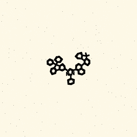 CC1(C)c2ccccc2-c2c(-c3ccc(-c4cc(-c5ccc6c(c5)-c5ccccc5C6(c5ccccc5)c5ccccc5)nc(-c5ccccc5)n4)c4ccccc34)cccc21